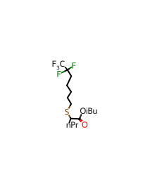 CCCC(SCCCCCC(F)(F)C(F)(F)F)C(=O)OCC(C)C